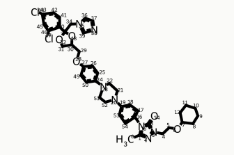 Cc1nn(CCOC2CCCCC2)c(=O)n1-c1ccc(N2CCN(c3ccc(OCC4COC(Cn5ccnc5)(c5ccc(Cl)cc5Cl)O4)cc3)CC2)cc1